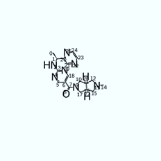 C[C@H](Nc1ncc(C(=O)N2C[C@H]3CN(C)C[C@H]3C2)cn1)c1cnccn1